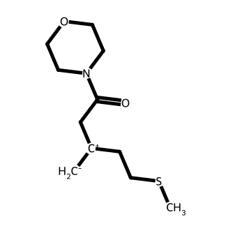 [CH2-][C+](CCSC)CC(=O)N1CCOCC1